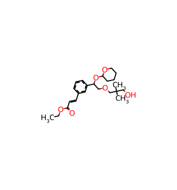 CCOC(=O)/C=C/c1cccc(C(COCC(C)(C)CO)OC2CCCCO2)c1